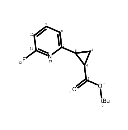 CC(C)(C)OC(=O)C1CC1c1cccc(F)n1